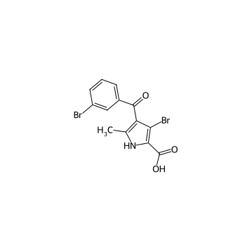 Cc1[nH]c(C(=O)O)c(Br)c1C(=O)c1cccc(Br)c1